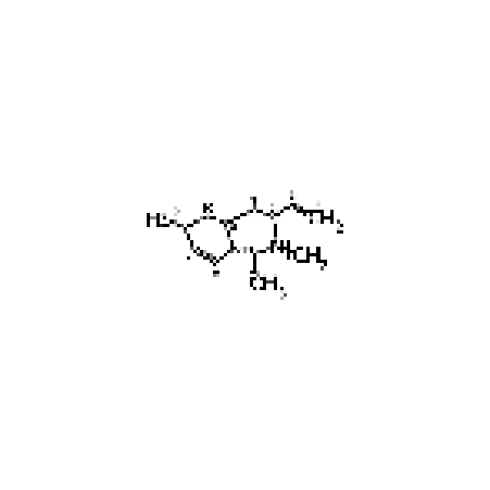 C=CC(CC1CC=CC(S)C1)N(C)CC